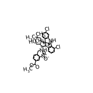 COC(=O)c1ccc(CN[C@@H]2C(CO)N(CC(C)(C)C)[C@@]3(C(=O)Nc4cc(Cl)ccc43)[C@H]2c2cccc(Cl)c2F)c([N+](=O)[O-])c1